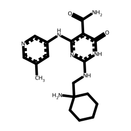 Cc1cncc(Nc2nc(NCC3(N)CCCCC3)[nH]c(=O)c2C(N)=O)c1